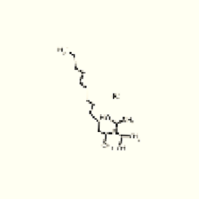 CCCCCCCCCCCC(C)N(C(C)O)C(C)O.Cl